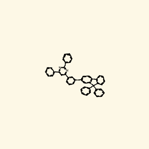 c1ccc(-c2cc(-c3cccc(-c4ccc5c(c4)C(c4ccccc4)(c4ccccc4)c4ccccc4-5)c3)nc(-c3ccccc3)n2)cc1